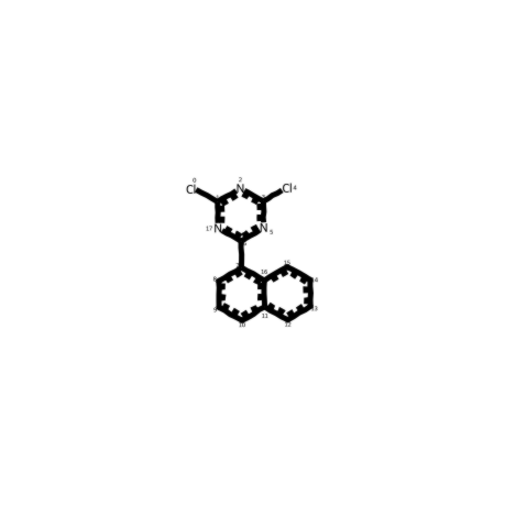 Clc1nc(Cl)nc(-c2cccc3ccccc23)n1